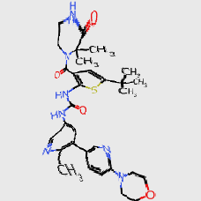 Cc1ncc(NC(=O)Nc2sc(C(C)(C)C)cc2C(=O)N2CCNC(=O)C2(C)C)cc1-c1ccc(N2CCOCC2)nc1